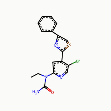 CCN(C(N)=O)c1cc(-c2nc(-c3ccccc3)cs2)c(Br)cn1